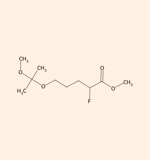 COC(=O)C(F)CCCOC(C)(C)OC